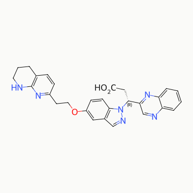 O=C(O)C[C@H](c1cnc2ccccc2n1)n1ncc2cc(OCCc3ccc4c(n3)NCCC4)ccc21